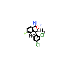 CC(c1ccc(Cl)cc1Cl)c1c(C(N)=O)ccc(F)c1[N+](=O)[O-]